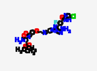 CC(C)(C)OC(=O)CCC(C(N)=O)N1Cc2cc(OCCCN3CC4(CCN(c5nc(-c6ccc(C(=O)Nc7cc(Cl)ccn7)cc6F)c6c(N)nccn56)CC4)C3)ccc2C1=O